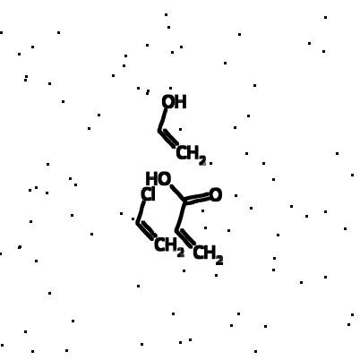 C=CC(=O)O.C=CCl.C=CO